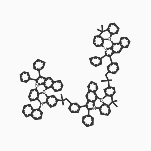 CC(C)(Cc1cccc(-c2c(-c3ccccc3)n3c4c(c5ccccc5cc24)B2c4cc(C(C)(C)Cc5cccc(-c6c(-c7ccccc7)n7c8c(c9ccccc9cc68)B6c8ccccc8C(C)(C)c8cccc-7c86)c5)ccc4C(C)(C)c4cccc-3c42)c1)c1ccc2c(c1)B1c3c(cccc3-n3c(-c4ccccc4)c(-c4ccccc4)c4cc5ccccc5c1c43)N2c1cccc2ccccc12